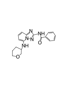 O=C(Nc1nc2cccc(NC3CCCOC3)n2n1)c1ccccc1